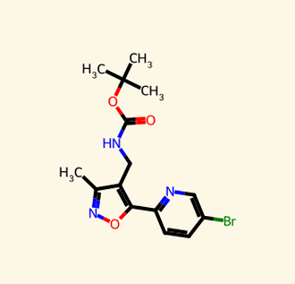 Cc1noc(-c2ccc(Br)cn2)c1CNC(=O)OC(C)(C)C